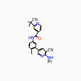 Cc1ccc(NC(=O)c2ccnc(C(C)(C)C#N)c2)cc1-c1cnc(NC(C)C)c(C#N)c1